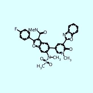 CNC(=O)c1c(-c2ccc(F)cc2)oc2cc(N(C)S(C)(=O)=O)c(-c3cc(-c4nc5ccccc5o4)c(=O)n(C)c3)cc12